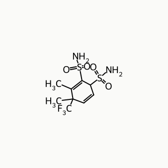 CC1=C(S(N)(=O)=O)C(S(N)(=O)=O)C=CC1(C)C(F)(F)F